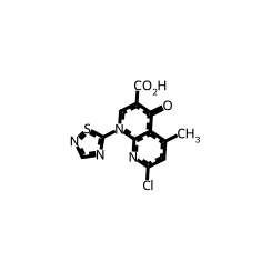 Cc1cc(Cl)nc2c1c(=O)c(C(=O)O)cn2-c1ncns1